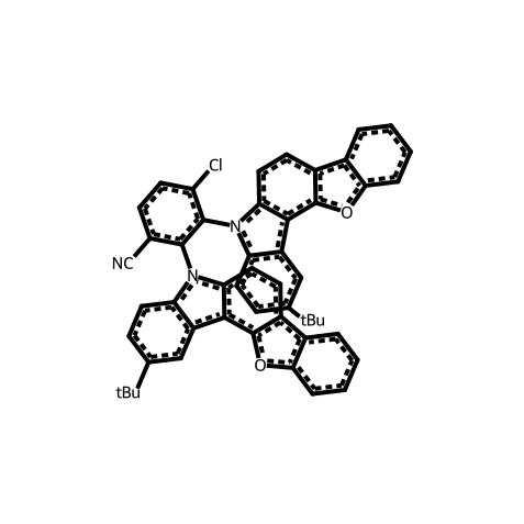 CC(C)(C)c1ccc2c(c1)c1c3oc4ccccc4c3ccc1n2-c1c(Cl)ccc(C#N)c1-n1c2ccc(C(C)(C)C)cc2c2c3oc4ccccc4c3ccc21